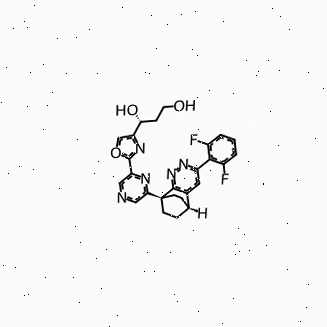 OCC[C@@H](O)c1coc(-c2cncc([C@]34CC[C@H](CC3)c3cc(-c5c(F)cccc5F)nnc34)n2)n1